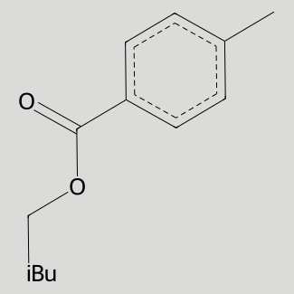 CCC(C)COC(=O)c1ccc(C)cc1